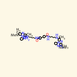 CNc1cc2c(cc1C)N=C1C=C(C)C(NCCCCCCNC(=O)c3ccc(-c4ccc(C(=O)NCCCCCCNc5cc6c(cc5C)nc5cc(C)c(NC)cc5[n+]6-c5ccccc5N)cc4)cc3)=CC1N2c1ccccc1N